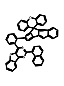 c1ccc2c(c1)Oc1ccccc1C21c2cc(-c3ccccc3-c3nc(-c4cccc5ccccc45)nc4c3sc3ccccc34)ccc2-c2cc3ccccc3cc21